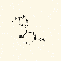 C[SiH](C)OC(c1cn[nH]c1)C(C)(C)C